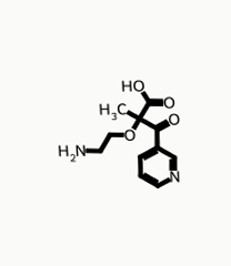 CC(OCCN)(C(=O)O)C(=O)c1cccnc1